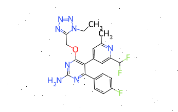 CCn1nnnc1COc1nc(N)nc(-c2ccc(F)cc2)c1-c1cc(C)nc(C(F)F)c1